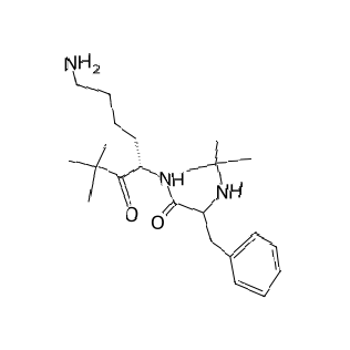 CC(C)(C)NC(Cc1ccccc1)C(=O)N[C@@H](CCCCN)C(=O)C(C)(C)C